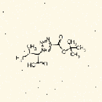 CC(C)C(C(=O)O)n1cc(C(=O)OC(C)(C)C)nn1